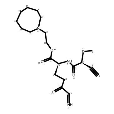 C#C[C@H](OC)C(=O)N[C@@H](CCC(=O)C=N)C(=O)OCCN1CCCCCCC1